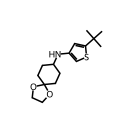 CC(C)(C)c1cc(NC2CCC3(CC2)OCCO3)cs1